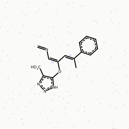 C=N/C=C(\C=C(/C)c1ccccc1)Oc1[nH]nnc1C(=O)O